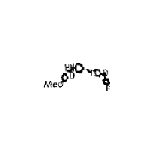 CO[C@H]1CC[C@H](CC(=O)N[C@H]2CC[C@@H](CCN3CCC(C(=O)c4ccc(F)cc4)CC3)CC2)CC1